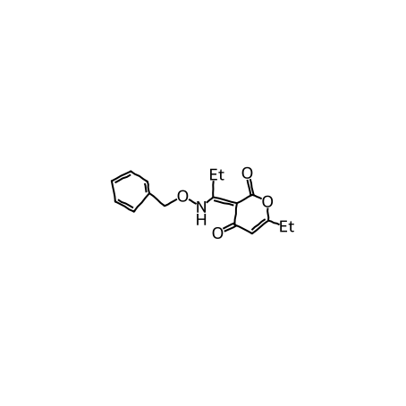 CCC1=CC(=O)C(=C(CC)NOCc2ccccc2)C(=O)O1